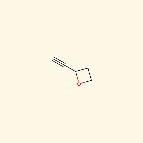 [C]#CC1CCO1